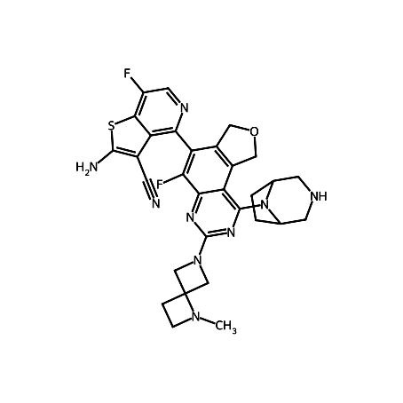 CN1CCC12CN(c1nc(N3C4CCC3CNC4)c3c4c(c(-c5ncc(F)c6sc(N)c(C#N)c56)c(F)c3n1)COC4)C2